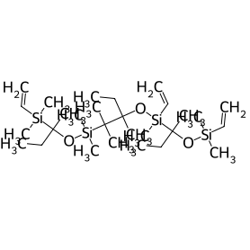 C=C[Si](C)(C)OC(C)(CC)[Si](C)(C=C)OC(C)(CC)C(C)(C)[Si](C)(C)OC(C)(CC)[Si](C)(C)C=C